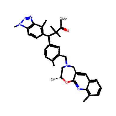 CC[C@@H]1CN(Cc2cc(C(c3ccc4c(nnn4C)c3C)C(C)(C)C(=O)OC)ccc2C)Cc2cc3cccc(C)c3nc2O1